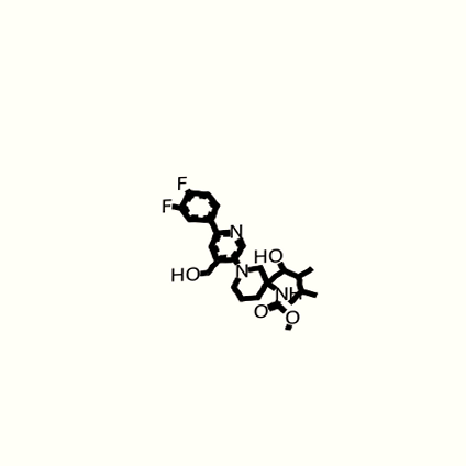 COC(=O)NC1(C(O)C(C)C(C)C)CCCN(c2cnc(-c3ccc(F)c(F)c3)cc2CO)C1